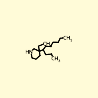 CCCCCCC(CCC)C1(CC)CCCNC1